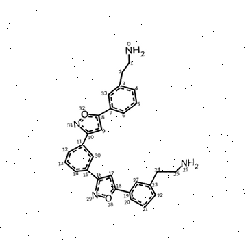 NCCc1cccc(-c2cc(-c3cccc(-c4cc(-c5cccc(CCN)c5)on4)c3)no2)c1